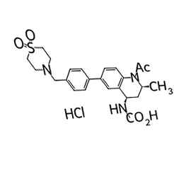 CC(=O)N1c2ccc(-c3ccc(CN4CCS(=O)(=O)CC4)cc3)cc2[C@H](NC(=O)O)C[C@@H]1C.Cl